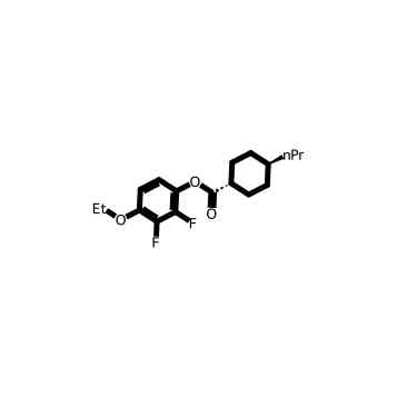 CCC[C@H]1CC[C@H](C(=O)Oc2ccc(OCC)c(F)c2F)CC1